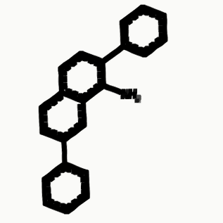 Nc1c(-c2ccccc2)ccc2ccc(-c3ccccc3)cc12